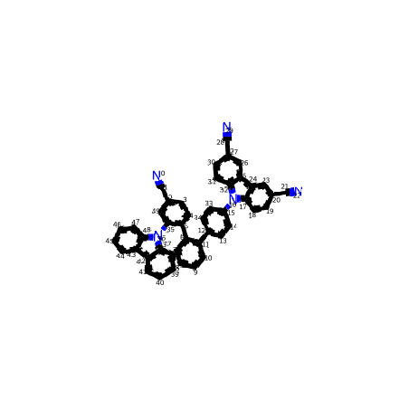 N#Cc1ccc(-c2ccccc2-c2ccc(-n3c4ccc(C#N)cc4c4cc(C#N)ccc43)cc2)c(-n2c3ccccc3c3ccccc32)c1